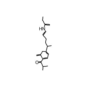 C=C(CC)N/C=C/CCC(C)C1=CC=C(C(=O)C(C)C)C(=C)C1